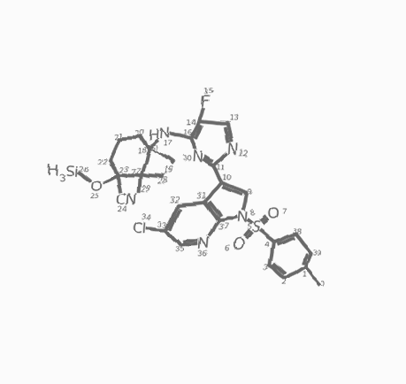 Cc1ccc(S(=O)(=O)n2cc(-c3ncc(F)c(N[C@@]4(C)CCCC(C#N)(O[SiH3])C4(C)C)n3)c3cc(Cl)cnc32)cc1